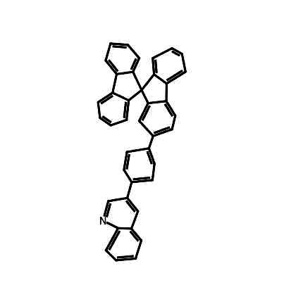 c1ccc2c(c1)-c1ccccc1C21c2ccccc2-c2ccc(-c3ccc(-c4cnc5ccccc5c4)cc3)cc21